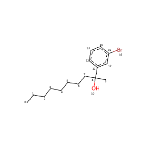 CCCCCCCCC(C)(O)c1cccc(Br)c1